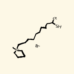 CCC(S)CCCCCCCCC[N+]1(C)CCCC1.[Br-]